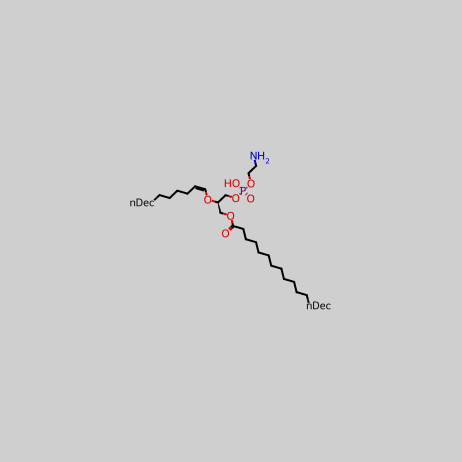 CCCCCCCCCCCCCC/C=C\O[C@H](COC(=O)CCCCCCCCCCCCCCCCCCCCC)COP(=O)(O)OCCN